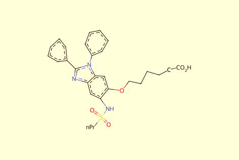 CCCS(=O)(=O)Nc1cc2nc(-c3ccccc3)n(-c3ccccc3)c2cc1OCCCCCC(=O)O